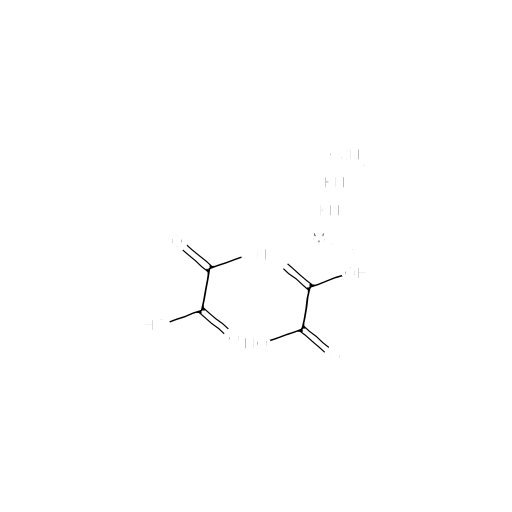 O=C(O)C(=O)O.O=C(O)C(=O)O.[CaH2].[KH].[KH].[MgH2]